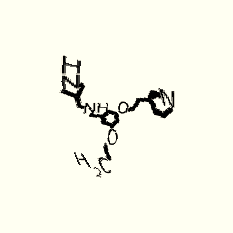 C=CCOc1cc(CNCC2CNC2)cc(OCCc2cccnc2)c1